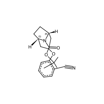 CC(C)(C)OC(=O)N1[C@@H]2CC[C@H]1CC(Oc1ccccc1C#N)C2